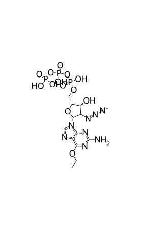 CCOc1nc(N)nc2c1ncn2[C@@H]1O[C@H](COP(=O)(O)OP(=O)(O)OP(=O)(O)O)[C@@H](O)C1N=[N+]=[N-]